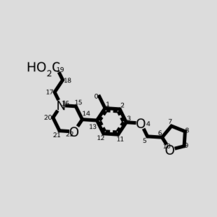 Cc1cc(OCC2CCCO2)ccc1C1CN(CCC(=O)O)CCO1